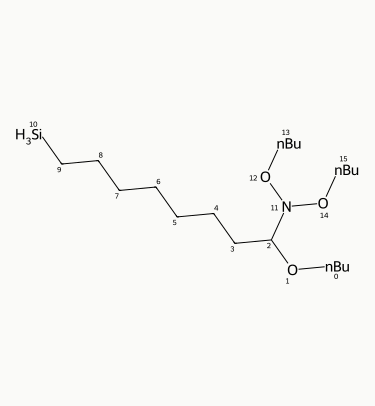 CCCCOC(CCCCCCC[SiH3])N(OCCCC)OCCCC